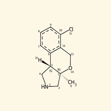 C[C@]12CNC[C@@H]1c1cccc(Cl)c1CO2